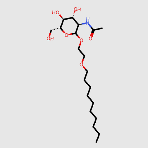 CCCCCCCCCCOCCOC1O[C@H](CO)[C@@H](O)[C@H](O)[C@H]1NC(C)=O